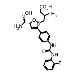 CC(CC(=O)O)CN1O[C@@H](/C(N)=N\O)C=C1c1ccc(NC(=O)Nc2ccccc2F)cc1